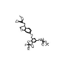 COC(=O)CC1COc2cc(OCc3cc(NC(=O)OC(C)(C)C)cc4c3OC(F)(F)O4)ccc21